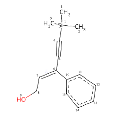 C[Si](C)(C)C#C/C(=C/CO)c1ccccc1